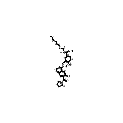 CCCCCCOC(=O)NC(=N)c1ccc(O)c(CNc2ncnc3cc(C(=O)N4CCCC4)c(Cl)cc23)c1